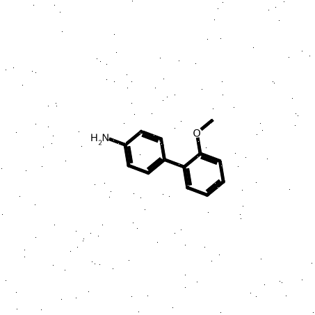 COc1ccccc1-c1ccc(N)cc1